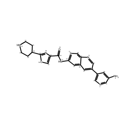 Nc1cncc(-c2cnc3cnc(NC(=O)c4coc(C5CCNCC5)n4)cc3c2)c1